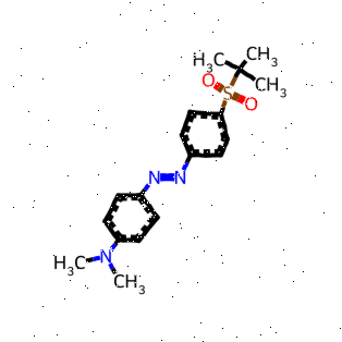 CN(C)c1ccc(/N=N/c2ccc(S(=O)(=O)C(C)(C)C)cc2)cc1